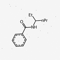 CCCC(CC)NC(=O)c1ccccc1